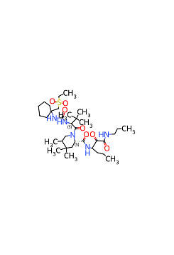 CCCNC(=O)C(=O)C(CCC)NC(=O)[C@@H]1CC(C)(C)C(C)CN1C(=O)[C@@H](NC(=O)NC1(CS(=O)(=O)CC)CCCCC1)C(C)(C)C